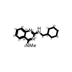 CNc1nc(NCC2CCCCC2)nc2ccccc12